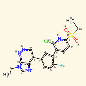 CCn1cnc2c(-c3ccc(F)c(-c4ccc(S(=O)(=O)CC)nc4Cl)c3)cnnc21